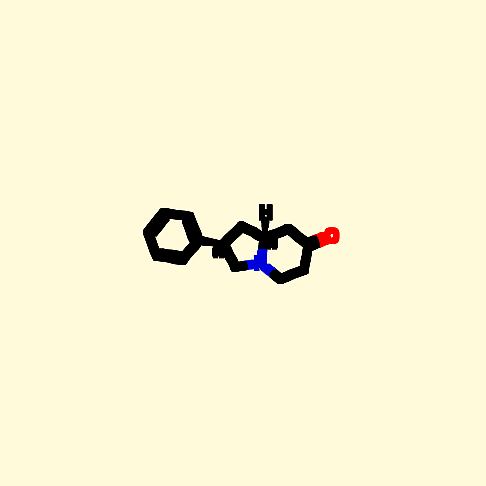 O=C1CCN2C[C@@H](c3ccccc3)C[C@H]2C1